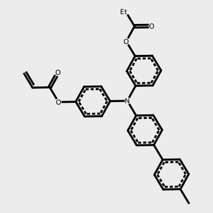 C=CC(=O)Oc1ccc(N(c2ccc(-c3ccc(C)cc3)cc2)c2cccc(OC(=O)CC)c2)cc1